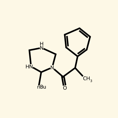 CCCCC1NCNCN1C(=O)C(C)c1ccccc1